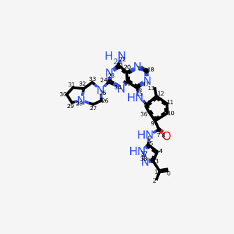 C=C(C)c1cc(NC(=O)c2ccc(C)c(Nc3ncnc4c(N)nc(N5CCN6CCCC6C5)nc34)c2)[nH]n1